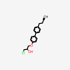 C#CCCc1ccc(-c2ccc(OCC(O)CCl)cc2)cc1